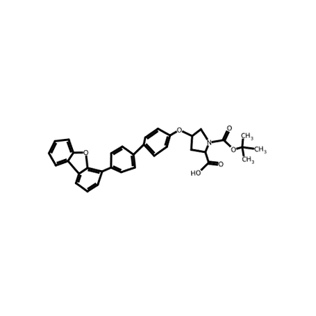 CC(C)(C)OC(=O)N1CC(Oc2ccc(-c3ccc(-c4cccc5c4oc4ccccc45)cc3)cc2)CC1C(=O)O